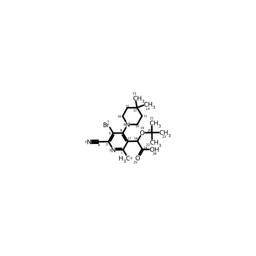 Cc1nc(C#N)c(Br)c(N2CCC(C)(C)CC2)c1C(OC(C)(C)C)C(=O)O